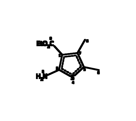 CCOC(=O)c1c(N)sc(C)c1C